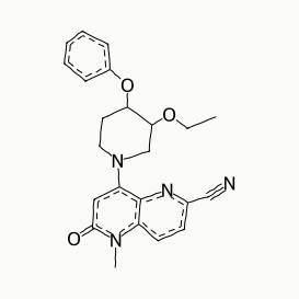 CCOC1CN(c2cc(=O)n(C)c3ccc(C#N)nc23)CCC1Oc1ccccc1